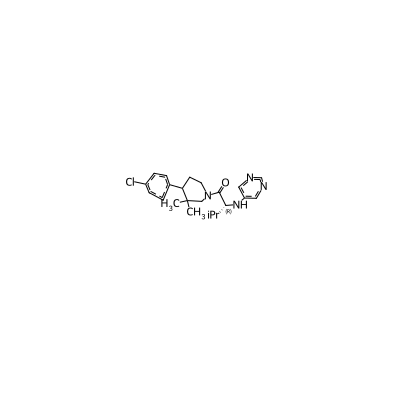 CC(C)[C@@H](Nc1cncnc1)C(=O)N1CCC(c2ccc(Cl)cc2)C(C)(C)C1